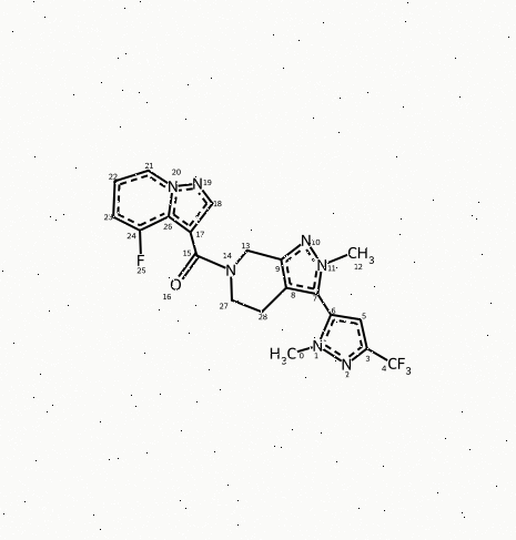 Cn1nc(C(F)(F)F)cc1-c1c2c(nn1C)CN(C(=O)c1cnn3cccc(F)c13)CC2